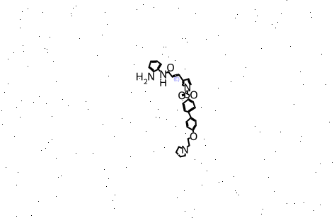 Nc1ccccc1NC(=O)/C=C/c1ccn(S(=O)(=O)c2ccc(-c3ccc(OCCN4CCCC4)cc3)cc2)c1